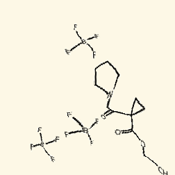 CCOC(=O)C1(C(=O)N2CCCC2)CC1.F[B-](F)(F)F.F[B-](F)(F)F.F[B-](F)(F)F